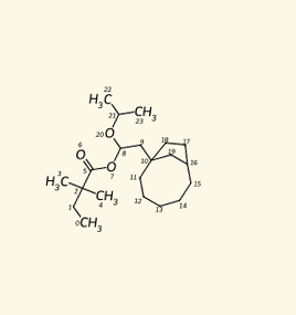 CCC(C)(C)C(=O)OC(CC12CCCCCC(CC1)C2)OC(C)C